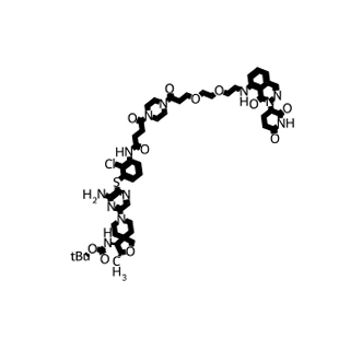 C[C@@H]1OCC2(CCN(c3cnc(Sc4cccc(NC(=O)CCC(=O)N5CCN(C(=O)CCOCCOCCNc6cccc7cnn(C8CCC(=O)NC8=O)c(=O)c67)CC5)c4Cl)c(N)n3)CC2)[C@@H]1NC(=O)OC(C)(C)C